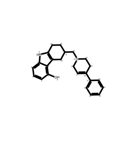 Oc1cccc2[nH]c3c(c12)CC(CN1CC=C(c2ccccc2)CC1)CC3